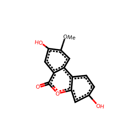 COc1cc2c(cc1O)c(=O)oc1cc(O)ccc12